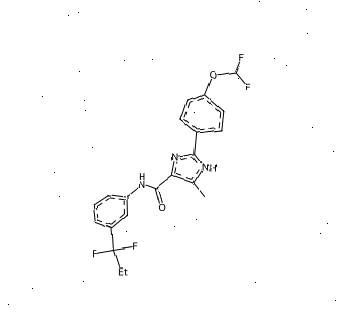 CCC(F)(F)c1cccc(NC(=O)c2nc(-c3ccc(OC(F)F)cc3)[nH]c2C)c1